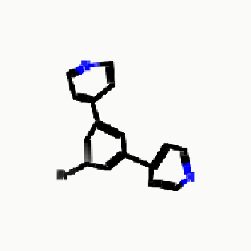 CC(C)c1cc(-c2ccncc2)cc(-c2ccncc2)c1